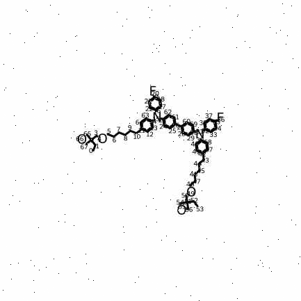 CCC1(COCCCCCCc2ccc(N(c3ccc(F)cc3)c3ccc(-c4ccc(N(c5ccc(F)cc5)c5ccc(CCCCCCOCC6(CC)COC6)cc5)cc4)cc3)cc2)COC1